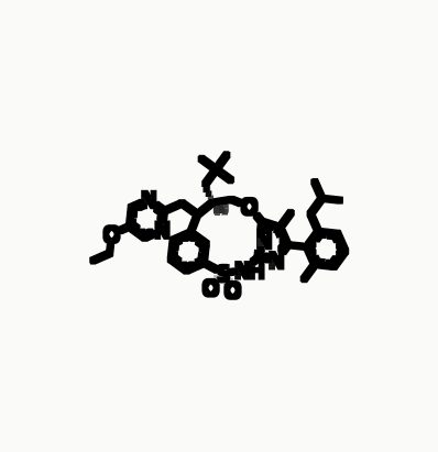 CCOc1cnc(CC2c3cccc(c3)S(=O)(=O)Nc3nc(c(C)c(-c4c(C)cccc4CC(C)C)n3)OC[C@H]2CC(C)(C)C)nc1